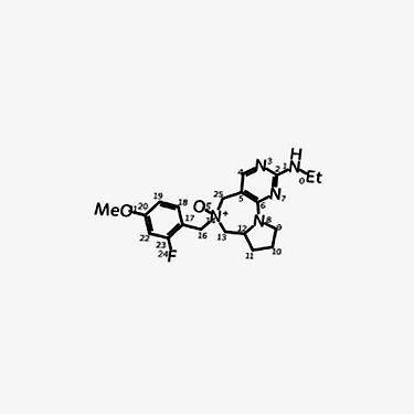 CCNc1ncc2c(n1)N1CCCC1C[N+]([O-])(Cc1ccc(OC)cc1F)C2